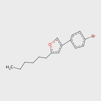 [CH2]CCCCCc1cc(-c2ccc(Br)cc2)co1